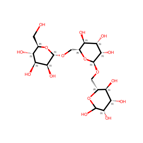 OC[C@H]1O[C@H](OC[C@H]2O[C@H](OC[C@H]3OC(O)[C@@H](O)[C@@H](O)[C@@H]3O)[C@@H](O)[C@@H](O)[C@@H]2O)[C@@H](O)[C@@H](O)[C@@H]1O